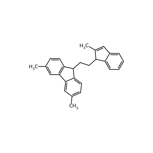 CC1=Cc2ccccc2C1CCC1c2ccc(C)cc2-c2cc(C)ccc21